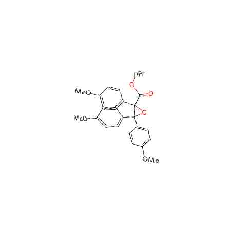 CCCOC(=O)C1(c2ccc(OC)cc2)OC1(c1ccc(OC)cc1)c1ccc(OC)cc1